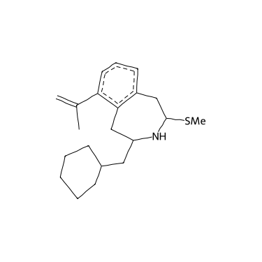 C=C(C)c1cccc2c1CC(CC1CCCCC1)NC(SC)C2